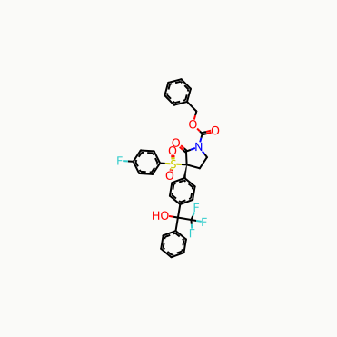 O=C(OCc1ccccc1)N1CC[C@](c2ccc(C(O)(c3ccccc3)C(F)(F)F)cc2)(S(=O)(=O)c2ccc(F)cc2)C1=O